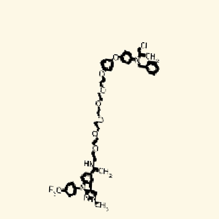 C=C(NCCOCCOCCOCCOCCOCCOc1ccc(Oc2ccc(N(Cc3ccccc3)C(=C)CCl)cc2)cc1)c1ccc2c(c1)c1cn(C)nc1n2C1=CC=C(C(F)(F)F)CC1